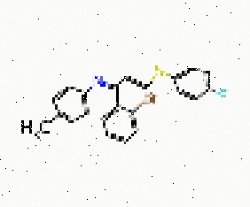 Cc1ccc(N=C(C=CSc2ccc(F)cc2)c2ccccc2Br)cc1